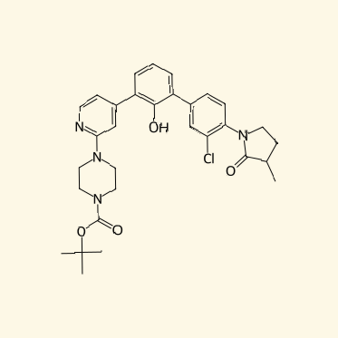 CC1CCN(c2ccc(-c3cccc(-c4ccnc(N5CCN(C(=O)OC(C)(C)C)CC5)c4)c3O)cc2Cl)C1=O